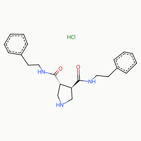 Cl.O=C(NCCc1ccccc1)[C@H]1CNC[C@@H]1C(=O)NCCc1ccccc1